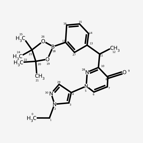 CCn1cc(-n2ccc(=O)c(C(C)c3cccc(B4OC(C)(C)C(C)(C)O4)c3)n2)cn1